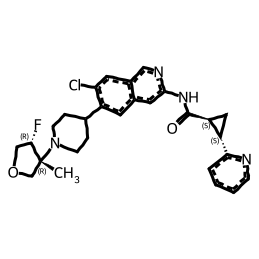 C[C@@]1(N2CCC(c3cc4cc(NC(=O)[C@H]5C[C@@H]5c5ccccn5)ncc4cc3Cl)CC2)COC[C@@H]1F